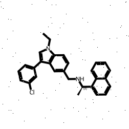 CCn1cc(-c2cccc(Cl)c2)c2cc(CN[C@H](C)c3cccc4ccccc34)ccc21